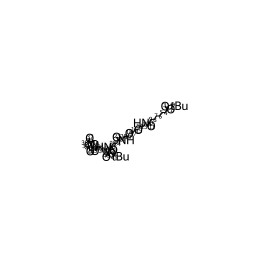 CC(C)(C)OC(=O)CCCCCCC(=O)NCCOCCOCCNC(=O)CCC(=O)N[C@@H](CCC(=O)ON1C(=O)CCC1=O)C(=O)OC(C)(C)C